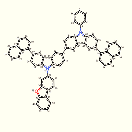 c1ccc(-n2c3ccc(-c4ccc5c(c4)c4cc(-c6cccc7ccccc67)ccc4n5-c4ccc5c(c4)oc4ccccc45)cc3c3cc(-c4cccc5ccccc45)ccc32)cc1